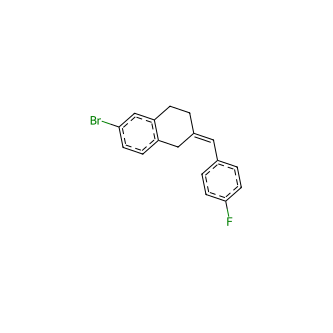 Fc1ccc(C=C2CCc3cc(Br)ccc3C2)cc1